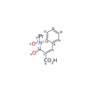 CC(C)[N+]1([O-])C(=O)C(C(=O)O)=Cc2ccccc21